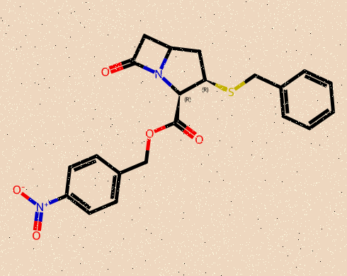 O=C(OCc1ccc([N+](=O)[O-])cc1)[C@@H]1[C@H](SCc2ccccc2)CC2CC(=O)N21